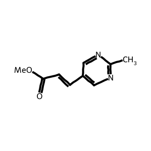 COC(=O)C=Cc1cnc(C)nc1